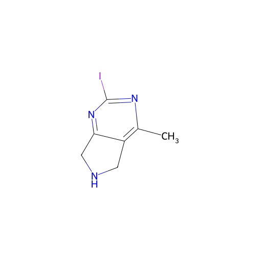 Cc1nc(I)nc2c1CNC2